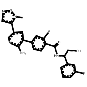 Cn1nncc1-c1cnc(N)c(-c2ccc(C(=O)NC(CO)c3cccc(F)c3)c(F)c2)c1